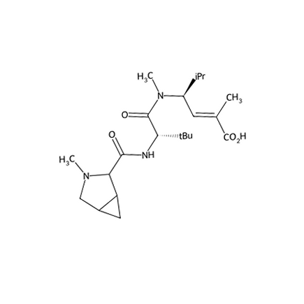 C/C(=C\[C@H](C(C)C)N(C)C(=O)[C@@H](NC(=O)C1C2CC2CN1C)C(C)(C)C)C(=O)O